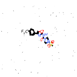 CS(=O)(=O)N1CCN(C(=O)Nc2nc(-c3ccc(C(F)(F)F)cc3)co2)CC1